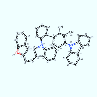 N#Cc1c(-c2ccccc2-n2c3ccccc3c3ccc4oc5ccccc5c4c32)ccc(-n2c3ccccc3c3ccccc32)c1C#N